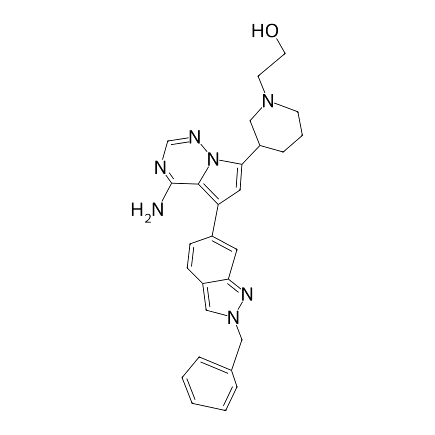 Nc1ncnn2c(C3CCCN(CCO)C3)cc(-c3ccc4cn(Cc5ccccc5)nc4c3)c12